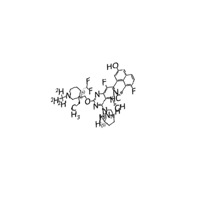 [2H]C([2H])([2H])N1CC[C@H](C(F)F)[C@](CC)(COc2nc(N3C[C@H]4CC[C@@H](C3)N4)c3c(C#C)nc(-c4cc(O)cc5ccc(F)c(C#C)c45)c(F)c3n2)C1